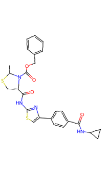 CC1SCC(C(=O)Nc2nc(-c3ccc(C(=O)NC4CC4)cc3)cs2)N1C(=O)OCc1ccccc1